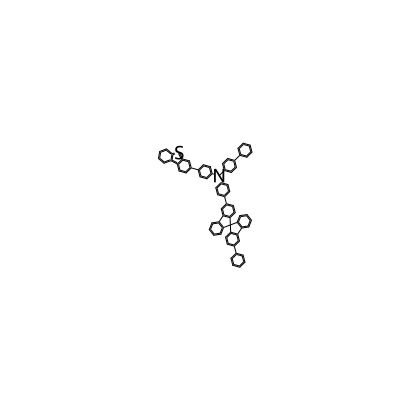 c1ccc(-c2ccc(N(c3ccc(-c4ccc5c(c4)-c4ccccc4C54c5ccccc5-c5cc(-c6ccccc6)ccc54)cc3)c3ccc(-c4ccc5c(c4)sc4ccccc45)cc3)cc2)cc1